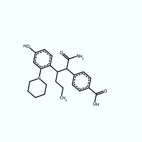 CCCC(c1ccc(O)cc1N1CCCCC1)C(C(N)=O)c1ccc(C(=O)O)cc1